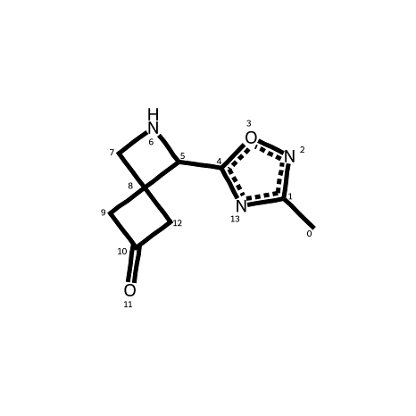 Cc1noc(C2NCC23CC(=O)C3)n1